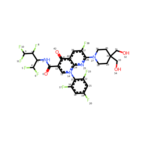 O=C(NC(C(F)F)C(F)C(F)F)c1cn(-c2c(F)cc(F)cc2F)c2nc(N3CCC(CO)(CO)CC3)c(F)cc2c1=O